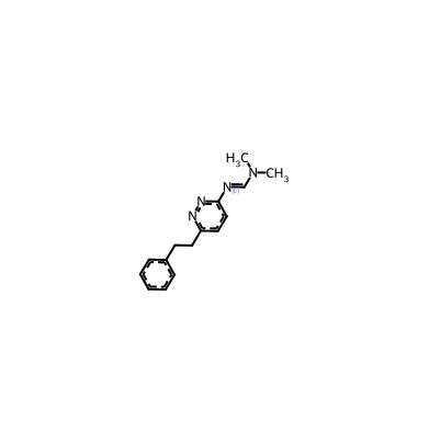 CN(C)/C=N/c1ccc(CCc2ccccc2)nn1